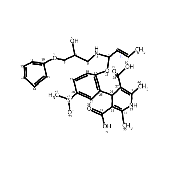 C/C=C/C(NCC(O)COc1ccccc1)Oc1ccc([S+](C)[O-])cc1C1C(C(=O)O)=C(C)NC(C)=C1C(=O)O